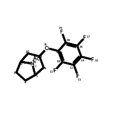 CC(=O)N1C2CCC1CC(Oc1c(F)c(F)c(F)c(F)c1F)C2